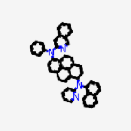 C1=CC(N(c2ccccn2)c2cccc3ccccc23)C2=CCc3ccc(N(c4ccccc4)c4cc5ccccc5cn4)c4ccc1c2c34